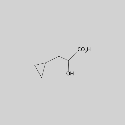 O=C(O)C(O)CC1CC1